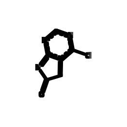 O=C1C=c2c(Cl)ncnc2=N1